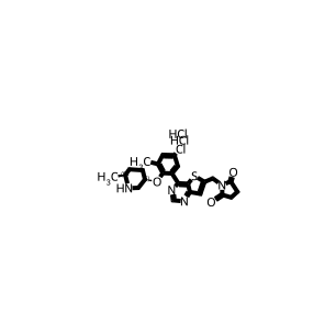 Cc1cc(Cl)cc(-c2ncnc3cc(CN4C(=O)CCC4=O)sc23)c1O[C@H]1CC[C@H](C)NC1.Cl.Cl